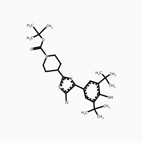 CC(C)(C)OC(=O)N1CCC(c2nc(-c3cc(C(C)(C)C)c(O)c(C(C)(C)C)c3)c(Cl)s2)CC1